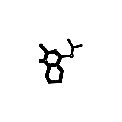 CC(C)Oc1nc(=O)[nH]c2ccccc12